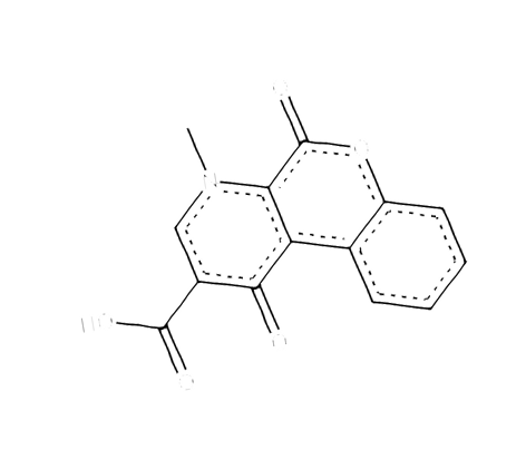 Cn1cc(C(=O)O)c(=O)c2c3ccccc3oc(=O)c21